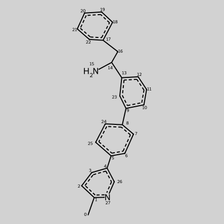 Cc1ccc(-c2ccc(-c3cccc(C(N)Cc4ccccc4)c3)cc2)cn1